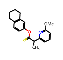 COc1cccc(C(C)C(=S)Oc2ccc3c(c2)CCCC3)n1